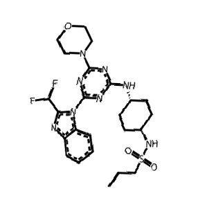 CCCS(=O)(=O)N[C@H]1CC[C@H](Nc2nc(N3CCOCC3)nc(-n3c(C(F)F)nc4ccccc43)n2)CC1